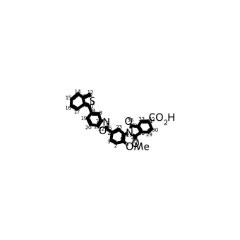 COc1ccc(-c2nc3cc(-c4scc5ccccc45)ccc3o2)cc1N1C(=O)c2ccc(C(=O)O)cc2C1=O